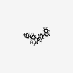 CN1CCN(c2ccc(-c3c(N)nn4cc(-c5csc6ccccc56)cnc34)cc2)CC1